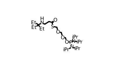 CCC(CC)(CC)NCCC(=O)SCOCOCOP(N(C(C)C)C(C)C)N(C(C)C)C(C)C